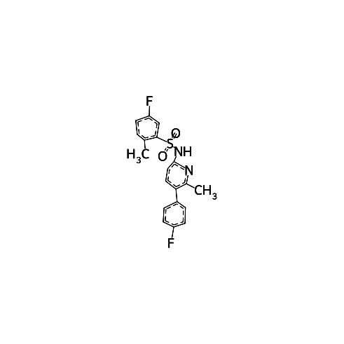 Cc1ccc(F)cc1S(=O)(=O)Nc1ccc(-c2ccc(F)cc2)c(C)n1